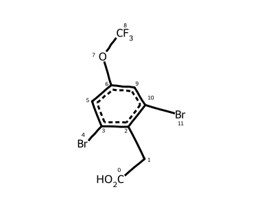 O=C(O)Cc1c(Br)cc(OC(F)(F)F)cc1Br